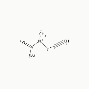 C#CCN(C)C(=O)C(C)(C)C